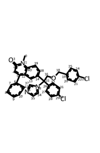 Cn1c(=O)cc(-c2ccccc2)c2cc(C(COCc3ccc(Cl)cc3)(c3ccc(Cl)cc3)n3ccnc3)ccc21